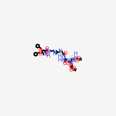 Cc1c(OCc2ccccc2)c(OCc2ccccc2)cc(C(=O)NCCCn2cc(-c3ncc(C(=O)NC[C@H]4NC(=O)[C@H]4NC(=O)/C(=N\OC(C)(C)C(=O)OC(C)(C)C)c4csc(NC(=O)OC(C)(C)C)n4)s3)cn2)[n+]1[O-]